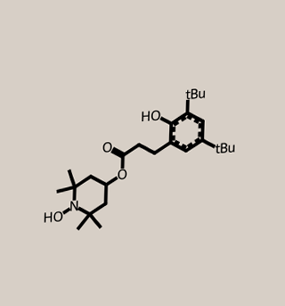 CC(C)(C)c1cc(CCC(=O)OC2CC(C)(C)N(O)C(C)(C)C2)c(O)c(C(C)(C)C)c1